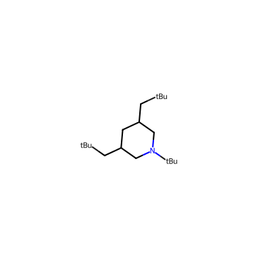 CC(C)(C)CC1CC(CC(C)(C)C)CN(C(C)(C)C)C1